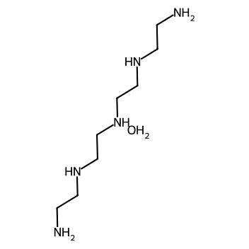 NCCNCCNCCNCCN.O